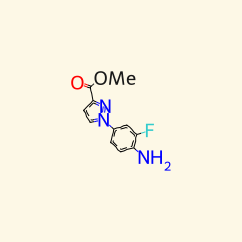 COC(=O)c1ccn(-c2ccc(N)c(F)c2)n1